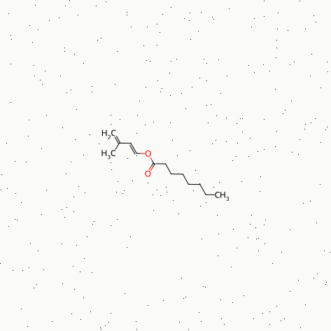 C=C(C)C=COC(=O)CCCCCCC